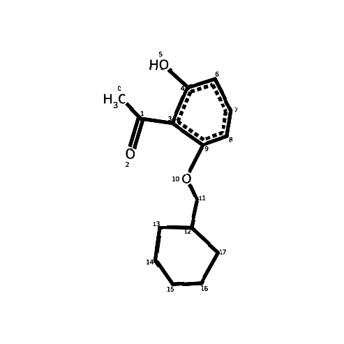 CC(=O)c1c(O)cccc1OCC1CCCCC1